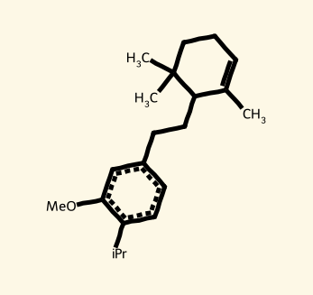 COc1cc(CCC2C(C)=CCCC2(C)C)ccc1C(C)C